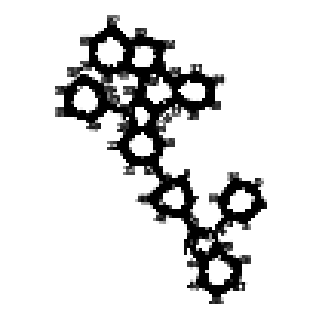 c1ccc(-n2c(-c3ccc(-c4ccc5c(c4)c4c6ccccc6c6ccc7ccccc7c6c4n5-c4ccccc4)cc3)nc3ccccc32)cc1